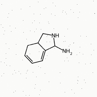 NC1NCC2CC=CC=C21